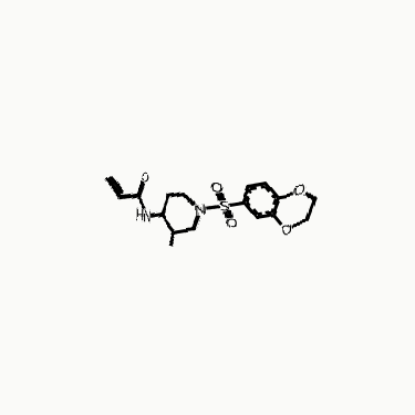 C=CC(=O)NC1CCN(S(=O)(=O)c2ccc3c(c2)OCCO3)CC1C